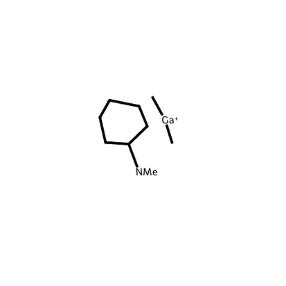 C[N-]C1CCCCC1.[CH3][Ga+][CH3]